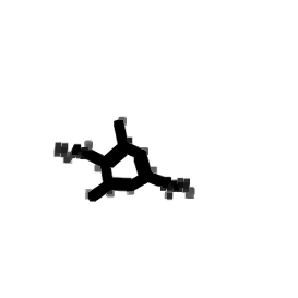 Cc1cc([AsH2])cc(C)c1[AsH2]